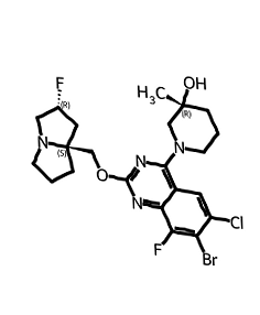 C[C@@]1(O)CCCN(c2nc(OC[C@@]34CCCN3C[C@H](F)C4)nc3c(F)c(Br)c(Cl)cc23)C1